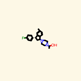 Cc1ccc2c(c1)[C@@H](c1ccc(F)cc1)C[C@@H]2N1CCN(C(C)O)CC1